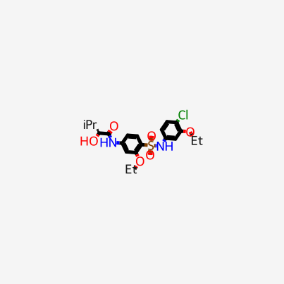 CCOc1cc(NS(=O)(=O)c2ccc(NC(=O)[C@@H](O)C(C)C)cc2OCC)ccc1Cl